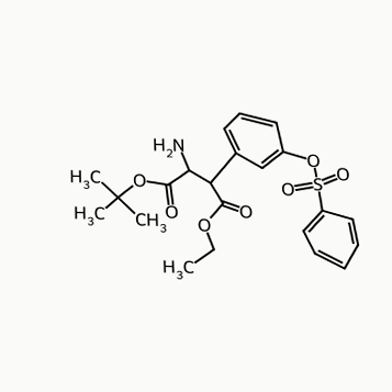 CCOC(=O)C(c1cccc(OS(=O)(=O)c2ccccc2)c1)C(N)C(=O)OC(C)(C)C